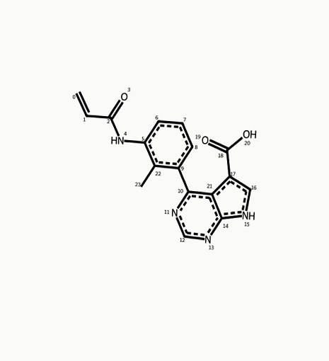 C=CC(=O)Nc1cccc(-c2ncnc3[nH]cc(C(=O)O)c23)c1C